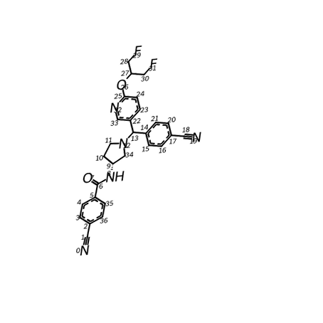 N#Cc1ccc(C(=O)N[C@@H]2CCN(C(c3ccc(C#N)cc3)c3ccc(OC(CF)CF)nc3)C2)cc1